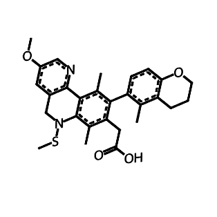 COc1cnc2c(c1)CN(SC)c1c(C)c(CC(=O)O)c(-c3ccc4c(c3C)CCCO4)c(C)c1-2